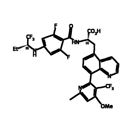 CC[C@@H](Nc1cc(F)c(C(=O)N[C@@H](Cc2ccc(-c3nc(C)cc(OC)c3C(F)(F)F)c3ncccc23)C(=O)O)c(F)c1)C(F)(F)F